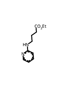 CCOC(=O)CCCNc1ccccn1